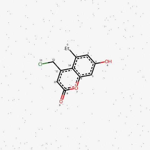 CCc1cc(O)cc2oc(=O)cc(CCl)c12